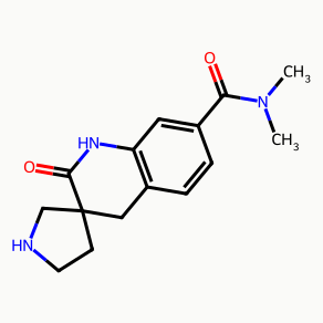 CN(C)C(=O)c1ccc2c(c1)NC(=O)C1(CCNC1)C2